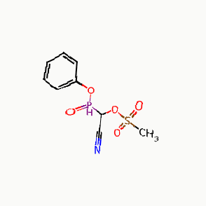 CS(=O)(=O)OC(C#N)[PH](=O)Oc1ccccc1